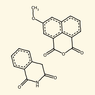 COc1cc2c3c(cccc3c1)C(=O)OC2=O.O=C1Cc2ccccc2C(=O)N1